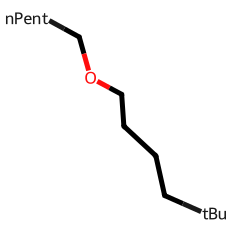 CCCCCCOCCCCC(C)(C)C